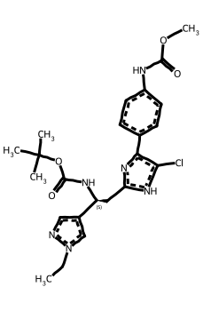 CCn1cc([C@H](Cc2nc(-c3ccc(NC(=O)OC)cc3)c(Cl)[nH]2)NC(=O)OC(C)(C)C)cn1